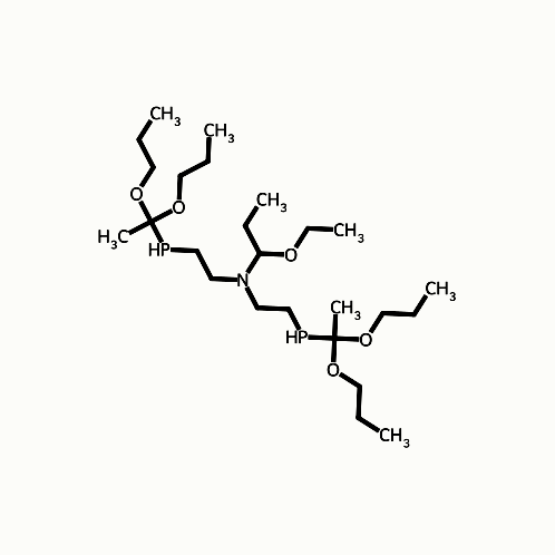 CCCOC(C)(OCCC)PCCN(CCPC(C)(OCCC)OCCC)C(CC)OCC